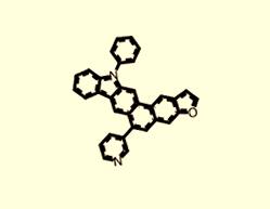 c1ccc(-n2c3ccccc3c3cc4c(-c5cccnc5)cc5cc6occc6cc5c4cc32)cc1